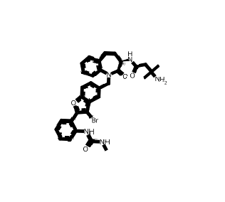 CNC(=O)Nc1ccccc1-c1oc2ccc(CN3C(=O)[C@H](NC(=O)CC(C)(C)N)CCc4ccccc43)cc2c1Br